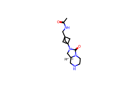 CC(=O)NCC12CC(N3C[C@@H]4CNCCN4C3=O)(C1)C2